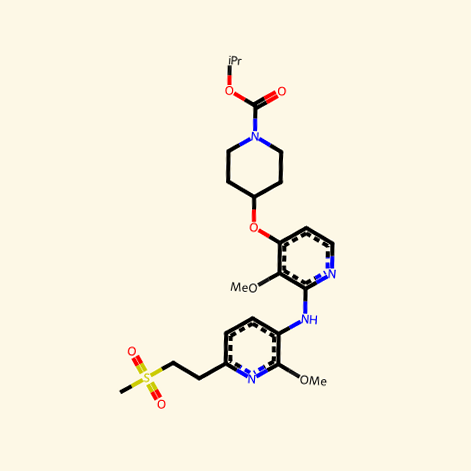 COc1nc(CCS(C)(=O)=O)ccc1Nc1nccc(OC2CCN(C(=O)OC(C)C)CC2)c1OC